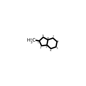 CC1C[C]2CCCCC2C1